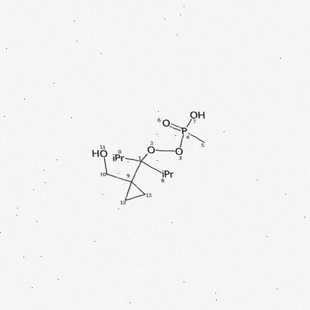 CC(C)C(OOP(C)(=O)O)(C(C)C)C1(CO)CC1